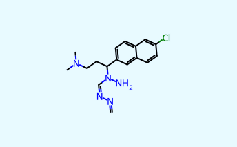 C=N/N=C\N(N)C(CCN(C)C)c1ccc2cc(Cl)ccc2c1